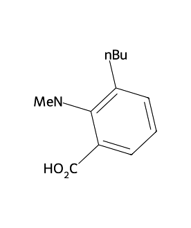 CCCCc1cccc(C(=O)O)c1NC